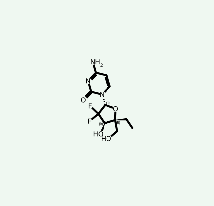 CC[C@]1(CO)O[C@@H](n2ccc(N)nc2=O)C(F)(F)[C@@H]1O